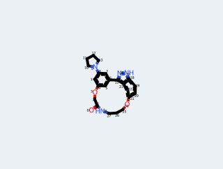 O=C1COc2cc(cc(N3CCCC3)c2)-c2n[nH]c3ccc(cc23)OCCCN1